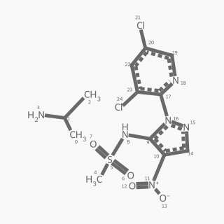 CC(C)N.CS(=O)(=O)Nc1c([N+](=O)[O-])cnn1-c1ncc(Cl)cc1Cl